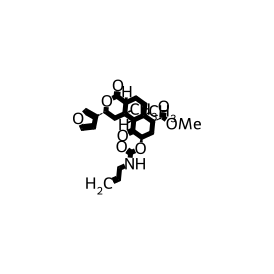 C=CCNC(=O)O[C@@H]1C[C@@H](C(=O)OC)[C@]2(C)CC[C@H]3C(=O)O[C@@H](c4ccoc4)C[C@]3(C)[C@@H]2C1=O